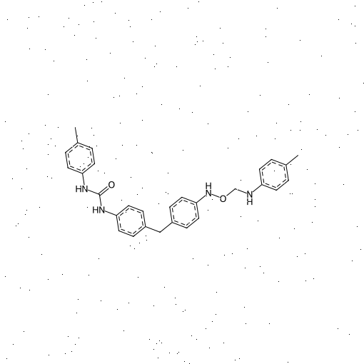 Cc1ccc(NCONc2ccc(Cc3ccc(NC(=O)Nc4ccc(C)cc4)cc3)cc2)cc1